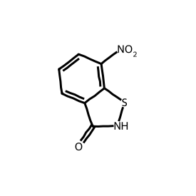 O=c1[nH]sc2c([N+](=O)[O-])cccc12